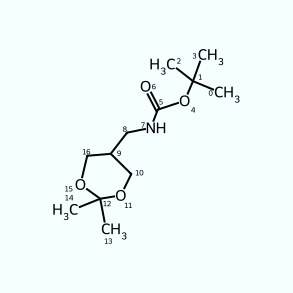 CC(C)(C)OC(=O)NCC1COC(C)(C)OC1